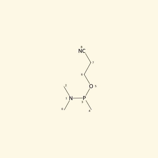 CN(C)P(C)OCCC#N